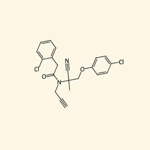 C#CCN(C(=O)Cc1ccccc1Cl)C(C)(C#N)COc1ccc(Cl)cc1